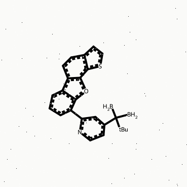 BC(B)(c1ccnc(-c2cccc3c2oc2c3ccc3ccsc32)c1)C(C)(C)C